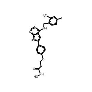 Cc1cc(F)ccc1CNc1ncnc2[nH]c(-c3ccc(OCCC(=O)NO)cc3)cc12